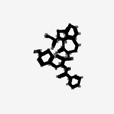 O=C(N[C@@H](Cc1ccc(O)cc1)C(=O)N[C@H]1CCc2cccc3c2N(C1=O)[C@H](C(=O)O)C3)c1ccccc1